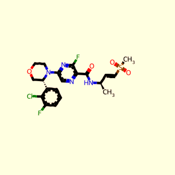 C[C@H](/C=C/S(C)(=O)=O)NC(=O)c1ncc(N2CCOC[C@H]2c2cccc(F)c2Cl)nc1F